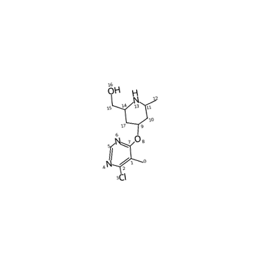 Cc1c(Cl)ncnc1OC1CC(C)NC(CO)C1